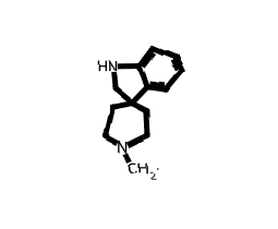 [CH2]N1CCC2(CC1)CNc1ccccc12